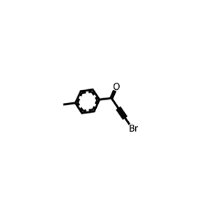 Cc1ccc(C(=O)C#CBr)cc1